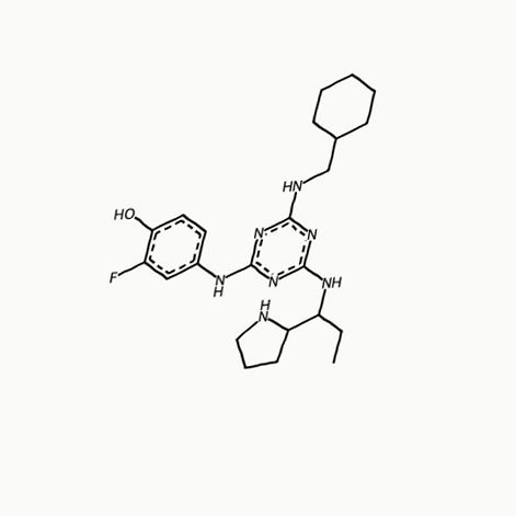 CCC(Nc1nc(NCC2CCCCC2)nc(Nc2ccc(O)c(F)c2)n1)C1CCCN1